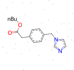 CCCCOC(=O)Cc1ccc(Cn2ccnc2)cc1